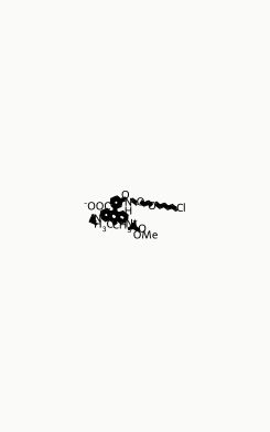 COC(=O)C1C[N+](=C2C=CC3=C(c4cc(C(=O)NCCOCCOCCCCCCCl)ccc4C(=O)[O-])c4ccc(N5CCC5)cc4C(C)(C)C3=C2)C1